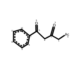 CC(=O)CC(=O)CC(=O)c1ccccc1